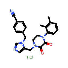 Cc1cccc(N2CCN(Cc3cncn3Cc3ccc(C#N)cc3)C(=O)C2=O)c1C.Cl